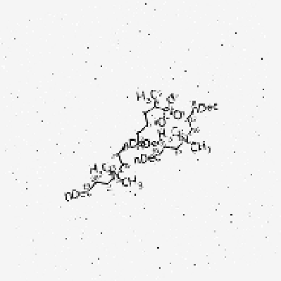 CCCCCCCCCCCCCC(C)P(=O)([O-])[O-].CCCCCCCCCCCC[N+](C)(C)CCCCCCCCCCCC.CCCCCCCCCCCC[N+](C)(C)CCCCCCCCCCCC